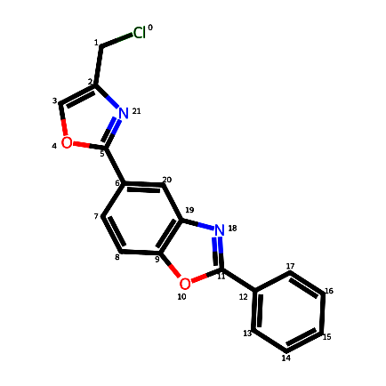 ClCc1coc(-c2ccc3oc(-c4ccccc4)nc3c2)n1